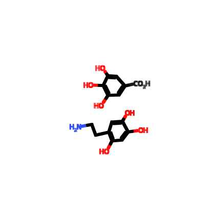 NCCc1cc(O)c(O)cc1O.O=C(O)c1cc(O)c(O)c(O)c1